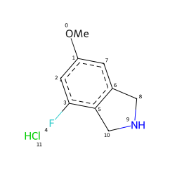 COc1[c]c(F)c2c(c1)CNC2.Cl